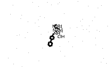 Cl.O=c1[nH]c(NCc2ccc(-c3ccccc3)cc2)nc2nc[nH]c12